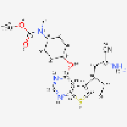 CN(C(=O)OC(C)(C)C)C1CCC(Oc2ncnc3sc4c(c23)[C@@H](CC(N)C#N)CC4)CC1